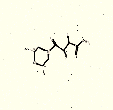 C[C@@H]1CN(C(=O)C(I)C(I)C(N)=O)C[C@H](C)O1